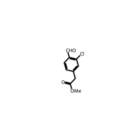 COC(=O)Cc1ccc(C=O)c(Cl)c1